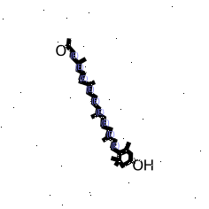 CC(=O)/C=C/C(C)=C/C=C/C(C)=C/C=C/C=C(C)/C=C/C=C(C)/C=C/C1=C(C)C[C@@H](O)CC1(C)C